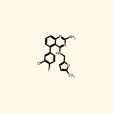 Cc1ccc(CNc2nc(N)nc3cccc(-c4ccc(F)c(Cl)c4)c23)o1